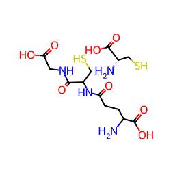 NC(CCC(=O)NC(CS)C(=O)NCC(=O)O)C(=O)O.N[C@@H](CS)C(=O)O